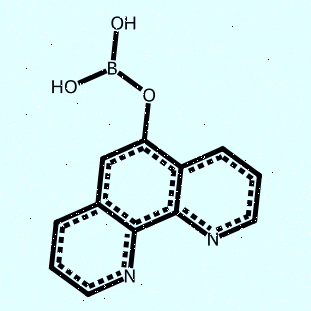 OB(O)Oc1cc2cccnc2c2ncccc12